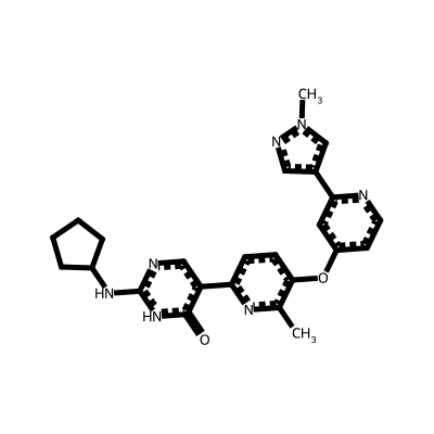 Cc1nc(-c2cnc(NC3CCCC3)[nH]c2=O)ccc1Oc1ccnc(-c2cnn(C)c2)c1